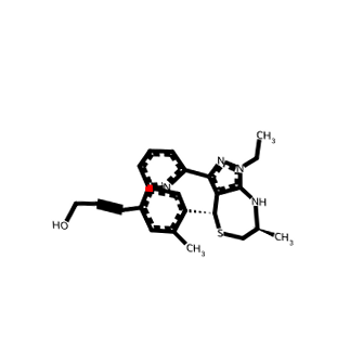 CCn1nc(-c2ccccn2)c2c1N[C@@H](C)CS[C@@H]2c1ccc(C#CCO)cc1C